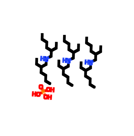 CCCCC(CC)CNCC(CC)CCCC.CCCCC(CC)CNCC(CC)CCCC.CCCCC(CC)CNCC(CC)CCCC.O=P(O)(O)O